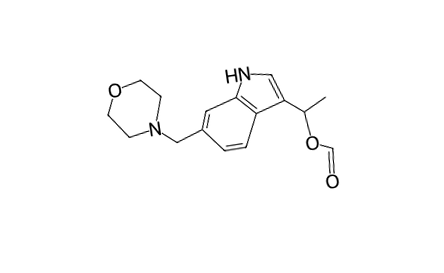 CC(OC=O)c1c[nH]c2cc(CN3CCOCC3)ccc12